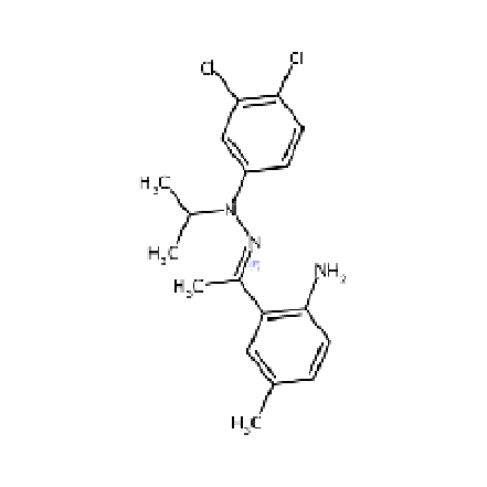 C/C(=N\N(c1ccc(Cl)c(Cl)c1)C(C)C)c1cc(C)ccc1N